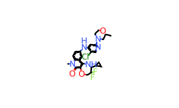 CC1CN(c2cc(Nc3ccc4c(c3)c3c(c(=O)n4C)OCC(F)(F)C(C4CC4)N3)c(Cl)cn2)CCO1